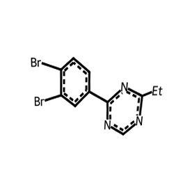 CCc1ncnc(-c2ccc(Br)c(Br)c2)n1